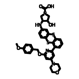 COc1ccc(COc2cc(N3CCOCC3)cc(-c3cccc4c3Sc3ccc(NC5CN(C(=O)O)CC5O)cc3S4)n2)cc1